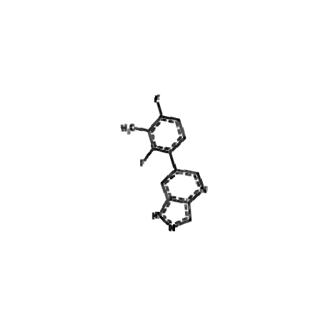 Cc1c(F)ccc(-c2cnc3cn[nH]c3c2)c1F